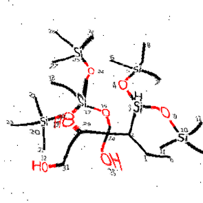 CCC([SiH](O[Si](C)(C)C)O[Si](C)(C)C)C(O)(O[Si](C)(O[Si](C)(C)C)O[Si](C)(C)C)C(O)CO